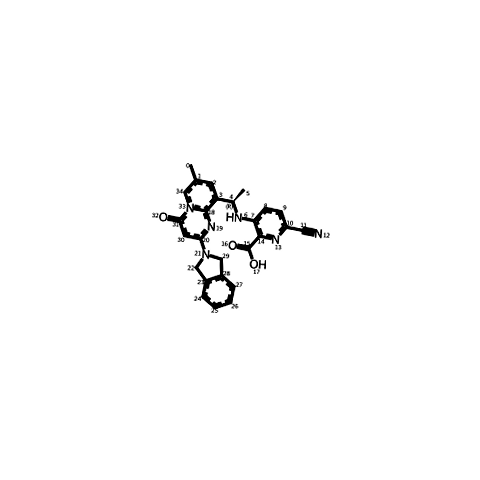 Cc1cc([C@@H](C)Nc2ccc(C#N)nc2C(=O)O)c2nc(N3Cc4ccccc4C3)cc(=O)n2c1